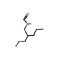 CCCC(CCC)CNC=O